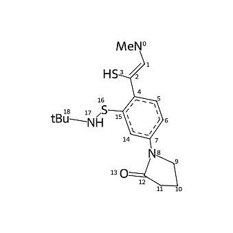 CN/C=C(\S)c1ccc(N2CCCC2=O)cc1SNC(C)(C)C